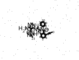 CC#Cc1cccc2nc(C(C)Nc3ncnc(N)c3-c3nc(C)no3)n(-c3ccccc3)c(=O)c12